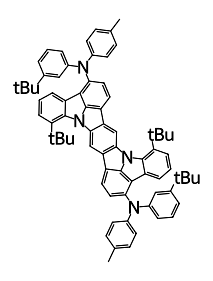 Cc1ccc(N(c2cccc(C(C)(C)C)c2)c2ccc3c4cc5c(cc4n4c6c(C(C)(C)C)cccc6c2c34)c2ccc(N(c3ccc(C)cc3)c3cccc(C(C)(C)C)c3)c3c4cccc(C(C)(C)C)c4n5c23)cc1